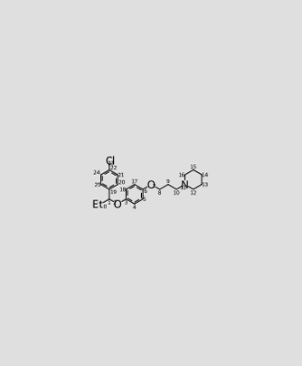 [CH2]CC(Oc1ccc(OCCCN2CCCCC2)cc1)c1ccc(Cl)cc1